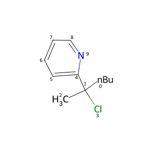 CCCCC(C)(Cl)c1ccccn1